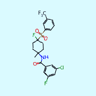 CC1(NC(=O)c2cc(F)cc(Cl)c2)CCC(F)(S(=O)(=O)c2cccc(C(F)(F)F)c2)CC1